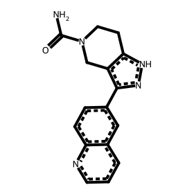 NC(=O)N1CCc2[nH]nc(-c3ccc4ncccc4c3)c2C1